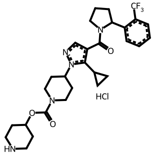 Cl.O=C(OC1CCNCC1)N1CCC(n2ncc(C(=O)N3CCCC3c3ccccc3C(F)(F)F)c2C2CC2)CC1